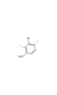 CC(C)c1c(F)ccc(C=O)c1F